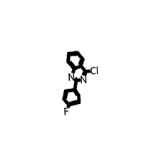 Fc1ccc(-c2nc(Cl)c3ccccc3n2)cc1